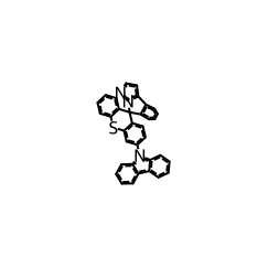 c1ccc2c(c1)Sc1cc(-n3c4ccccc4c4ccccc43)ccc1C21c2ccccc2-c2ccnn21